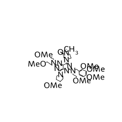 COCCN(Cc1ccc(OC)c(OC)c1OC)c1nc(N2CCN(C)C(=O)C2)c2nc(N(CCOC)CCOC)nc(N3CCC(OC)CC3)c2n1